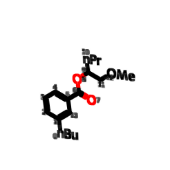 CCCCc1cccc(C(=O)OC(CCC)COC)c1